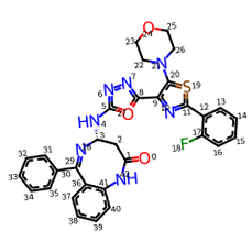 O=C1C[C@@H](Nc2nnc(-c3nc(-c4ccccc4F)sc3N3CCOCC3)o2)/N=C(/c2ccccc2)c2ccccc2N1